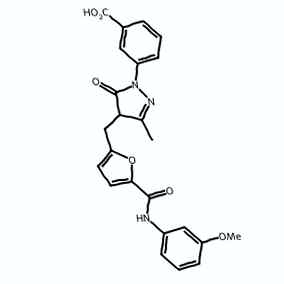 COc1cccc(NC(=O)c2ccc(CC3C(=O)N(c4cccc(C(=O)O)c4)N=C3C)o2)c1